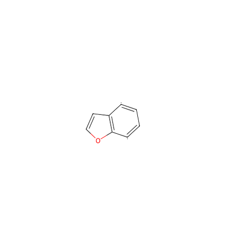 [c]1cc[c]c2occc12